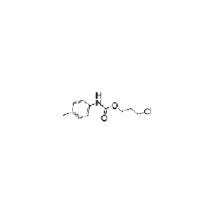 Cc1ccc(NC(=O)OCCCCl)cc1